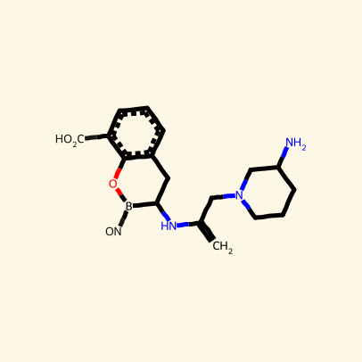 C=C(CN1CCCC(N)C1)NC1Cc2cccc(C(=O)O)c2OB1N=O